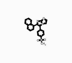 CS(=O)(=O)c1ccc(-c2c(-c3cccc4ccccc34)nc3occn23)cc1